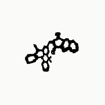 CC1c2ccccc2N2c3ccccc3C(C)(C)c3cc(C=C4C(=O)c5cc6ccccc6cc5C4=O)cc1c32